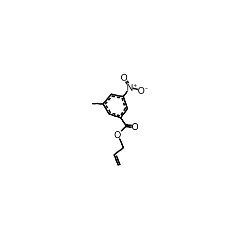 C=CCOC(=O)c1cc(C)cc([N+](=O)[O-])c1